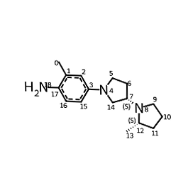 Cc1cc(N2CC[C@H](N3CCC[C@@H]3C)C2)ccc1N